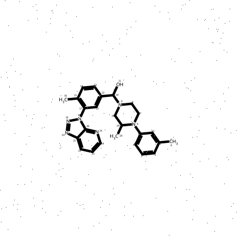 Cc1cccc(N2CCN(C(O)c3ccc(C)c(-n4nnc5cccnc54)c3)CC2C)c1